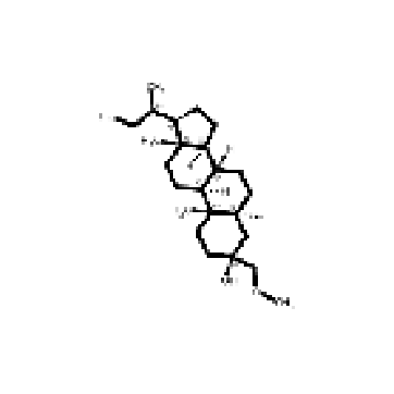 COC[C@]1(O)CC[C@@]2(C)[C@@H](CC[C@@H]3[C@@H]2CC[C@]2(C)[C@@H]([C@H](C)CO)CC[C@@H]32)C1